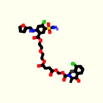 CC(C(=O)c1cccc(Cl)c1)N(C(=O)OCOC(=O)CCC(=O)OCCOCCOC(=O)c1cc(S(N)(=O)=O)c(Cl)cc1NCc1ccco1)C(C)(C)C